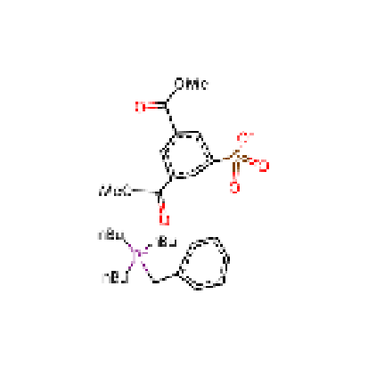 CCCC[P+](CCCC)(CCCC)Cc1ccccc1.COC(=O)c1cc(C(=O)OC)cc(S(=O)(=O)[O-])c1